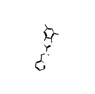 Cc1cc(C)c2nc([S+]([O-])Cc3ccccn3)[nH]c2c1